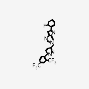 FC1CC=CC=C1c1cc2ncn(Cc3ccc(-c4ccc(C(F)(F)F)cc4C(F)(F)F)nn3)cc-2n1